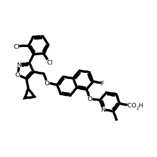 Cc1nc(Oc2c(F)ccc3cc(OCc4c(-c5c(Cl)cccc5Cl)noc4C4CC4)ccc23)ccc1C(=O)O